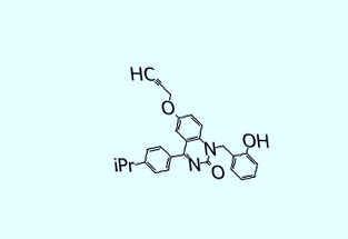 C#CCOc1ccc2c(c1)c(-c1ccc(C(C)C)cc1)nc(=O)n2Cc1ccccc1O